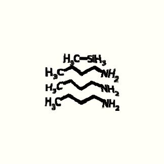 CCCCN.CCCCN.CCCCN.C[SiH3]